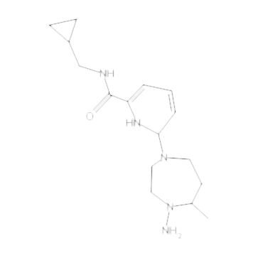 CC1CCN(C2C=CC=C(C(=O)NCC3CC3)N2)CCN1N